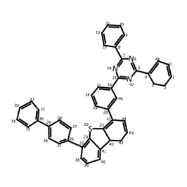 C1=CCCC(c2nc(-c3ccccc3)nc(-c3cccc(C4=C5Sc6c(-c7ccc(-c8ccccc8)cc7)cccc6C5CC=C4)c3)n2)=C1